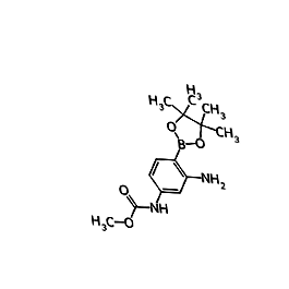 COC(=O)Nc1ccc(B2OC(C)(C)C(C)(C)O2)c(N)c1